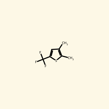 Cc1cc(C(F)(F)F)sc1C